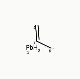 [CH2]C=C.[PbH2]